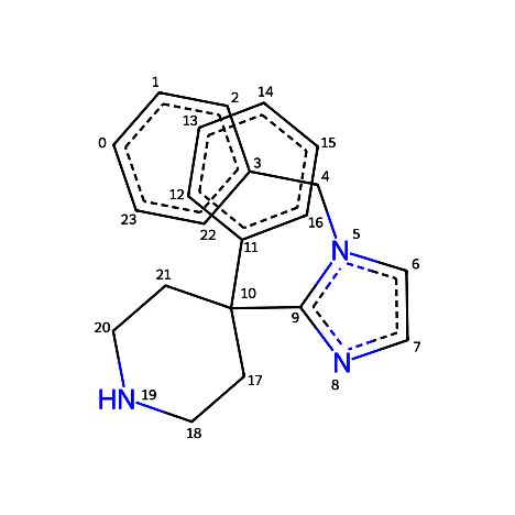 c1ccc(Cn2ccnc2C2(c3ccccc3)CCNCC2)cc1